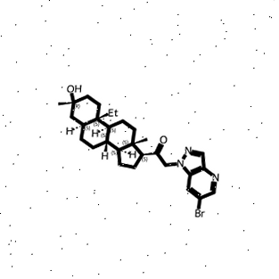 CC[C@]12CC[C@@](C)(O)C[C@@H]1CC[C@H]1[C@@H]3CC[C@H](C(=O)Cn4ncc5ncc(Br)cc54)[C@@]3(C)CC[C@@H]12